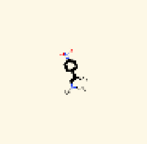 C/C(=C\N(C)C)c1ccc([N+](=O)[O-])cc1